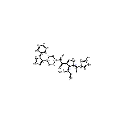 CO/C(C=N)=c1\c(C(=O)C(=O)N2CCN(c3cnnn3-c3ccccn3)CC2)c[nH]\c1=C(\C)n1cnc(C)n1